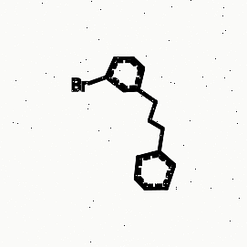 Brc1cccc(CCCc2ccccc2)c1